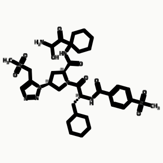 CS(=O)(=O)Cc1cnnn1[C@H]1C[C@@H](C(=O)NC2(C(=O)C(N)O)CCCCC2)N(C(=O)[C@@H](CC2CCCCC2)NC(=O)c2ccc(S(C)(=O)=O)cc2)C1